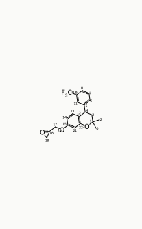 CC1(C)CC(c2cccc(C(F)(F)F)c2)c2ccc(OCC3CO3)cc2O1